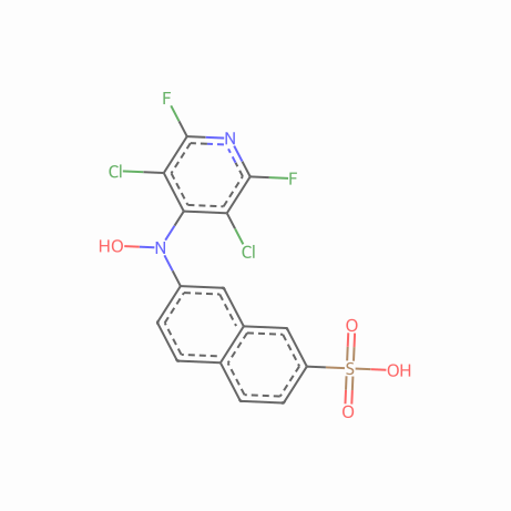 O=S(=O)(O)c1ccc2ccc(N(O)c3c(Cl)c(F)nc(F)c3Cl)cc2c1